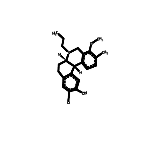 CCCN1Cc2c(ccc(C)c2OC)[C@@H]2c3cc(O)c(Cl)cc3CC[C@H]21